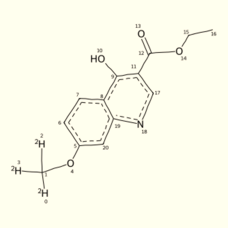 [2H]C([2H])([2H])Oc1ccc2c(O)c(C(=O)OCC)cnc2c1